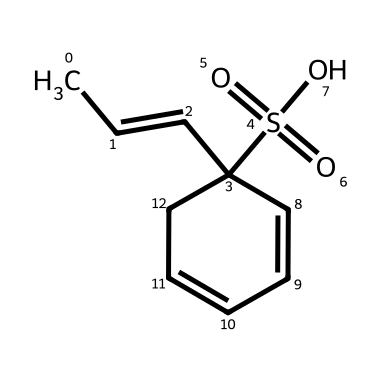 CC=CC1(S(=O)(=O)O)C=CC=CC1